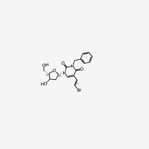 O=c1c(/C=C/Br)cn([C@@H]2CC(O)[C@H](CO)O2)c(=O)n1Cc1ccccc1